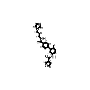 Cc1ccc(NC(=O)c2ccoc2)cc1-c1ccc(C(=O)NCCCn2ccnc2)cc1